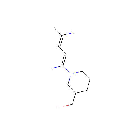 C/C(N)=C/C=C(\N)N1CCCC(CO)C1